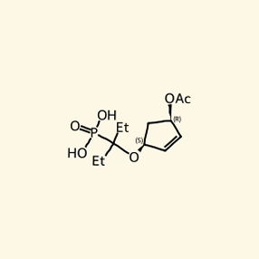 CCC(CC)(O[C@@H]1C=C[C@H](OC(C)=O)C1)P(=O)(O)O